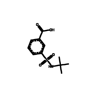 CC(C)(C)NS(=O)(=O)c1cccc(C(=O)O)c1